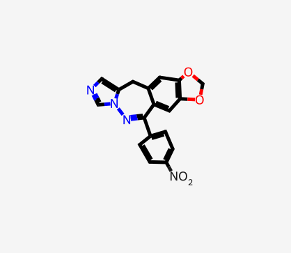 O=[N+]([O-])c1ccc(C2=Nn3cncc3Cc3cc4c(cc32)OCO4)cc1